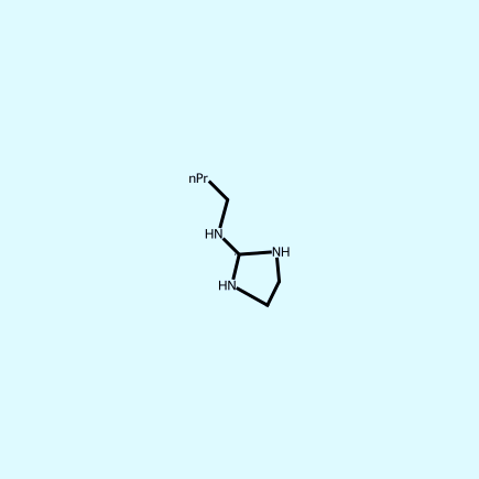 CCCCN[C]1NCCN1